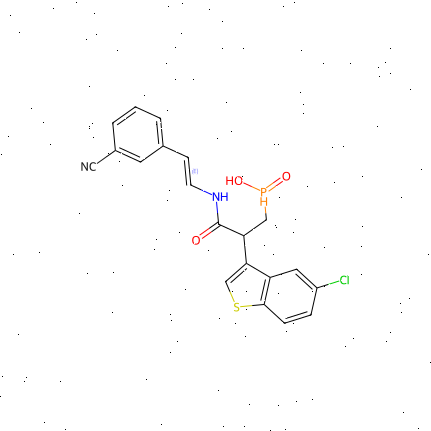 N#Cc1cccc(/C=C/NC(=O)C(C[PH](=O)O)c2csc3ccc(Cl)cc23)c1